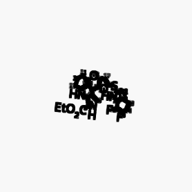 CCOC(=O)c1[nH]cc2c1NC1=C(C(=O)CCC1)C2c1ccc(Sc2nc3ccc(F)c(F)c3[nH]2)o1